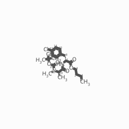 CCCCOC(=O)[C@@H](Cc1ccc(Cl)cc1)NC(=O)[C@@H](C)N(C)C(=O)OC(C)(C)C